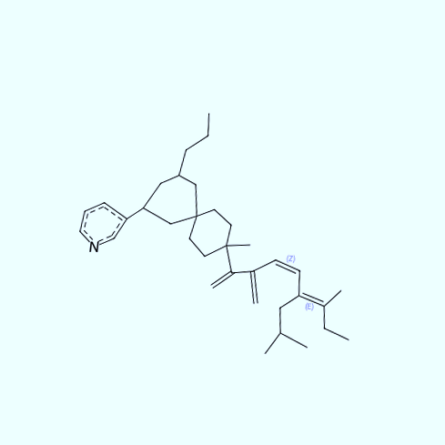 C=C(/C=C\C(CC(C)C)=C(/C)CC)C(=C)C1(C)CCC2(CC1)CC(CCC)CC(c1cccnc1)C2